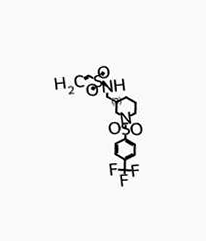 C=CS(=O)(=O)NC[C@H]1CCCN(S(=O)(=O)c2ccc(C(F)(F)F)cc2)C1